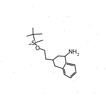 CC(C)(C)[Si](C)(C)OCCC1Cc2ccccc2C(N)C1